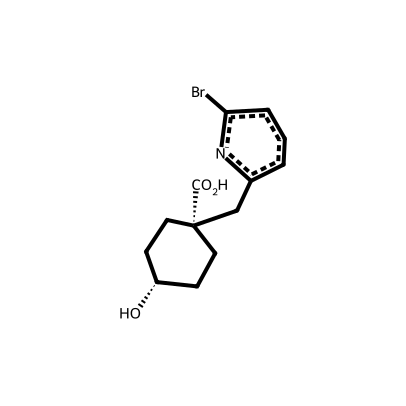 O=C(O)[C@]1(Cc2cccc(Br)n2)CC[C@H](O)CC1